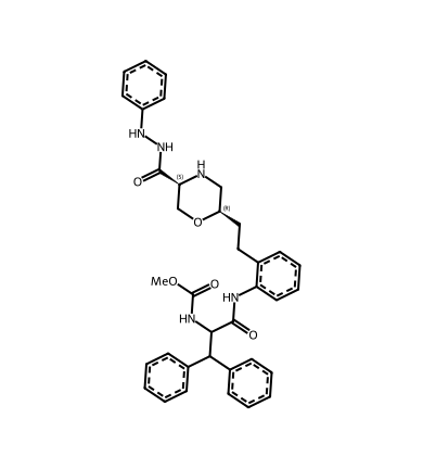 COC(=O)NC(C(=O)Nc1ccccc1CC[C@@H]1CN[C@H](C(=O)NNc2ccccc2)CO1)C(c1ccccc1)c1ccccc1